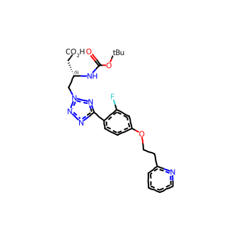 CC(C)(C)OC(=O)N[C@@H](CC(=O)O)Cn1nnc(-c2ccc(OCCc3ccccn3)cc2F)n1